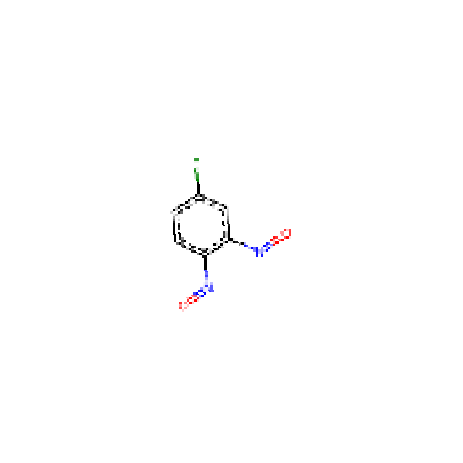 O=Nc1ccc(F)cc1N=O